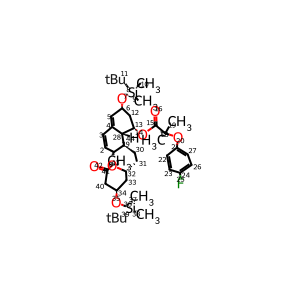 C[C@H]1C=CC2=C[C@@H](O[Si](C)(C)C(C)(C)C)C[C@H](OC(=O)C(C)(C)Oc3ccc(F)cc3)[C@@H]2[C@H]1CC[C@@H]1C[C@@H](O[Si](C)(C)C(C)(C)C)CC(=O)O1